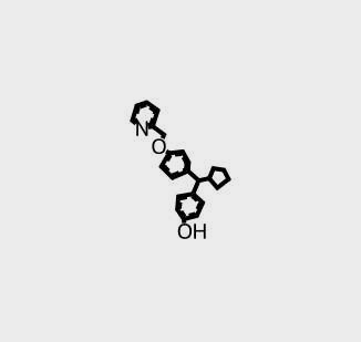 Oc1ccc(C(c2ccc(OCc3ccccn3)cc2)C2CCCC2)cc1